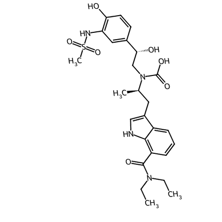 CCN(CC)C(=O)c1cccc2c(C[C@@H](C)N(C[C@@H](O)c3ccc(O)c(NS(C)(=O)=O)c3)C(=O)O)c[nH]c12